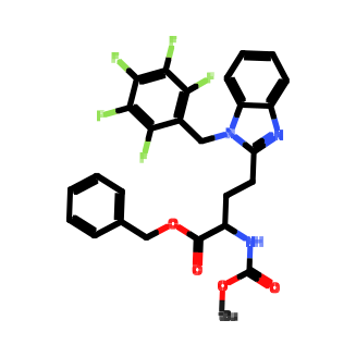 CC(C)(C)OC(=O)NC(CCc1nc2ccccc2n1Cc1c(F)c(F)c(F)c(F)c1F)C(=O)OCc1ccccc1